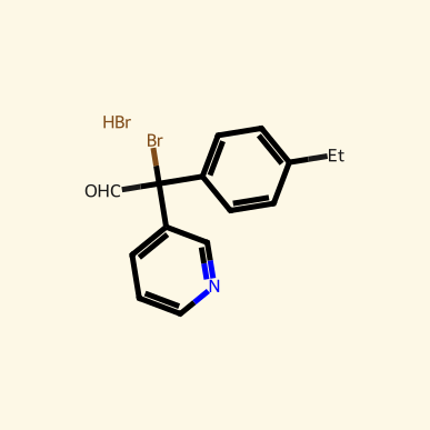 Br.CCc1ccc(C(Br)(C=O)c2cccnc2)cc1